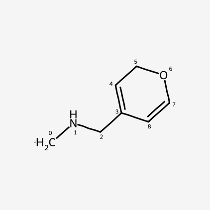 [CH2]NCC1=CCOC=C1